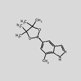 Cc1cc(B2OC(C)(C)C(C)(C)O2)cc2cn[nH]c12